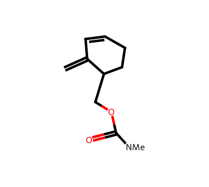 C=C1C=CCCC1COC(=O)NC